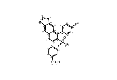 CC(C)S(=O)(=O)c1c(-c2ccc(C(=O)O)cc2)nc2cc3[nH]ncc3cc2c1-c1ccc(F)cc1